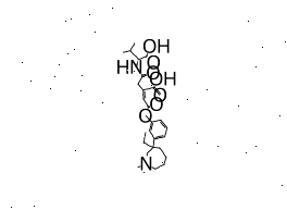 CCC1(c2cccc(OC(=O)/C=C(/CC(=O)N[C@H](C(=O)O)C(C)C)C(=O)O)c2)CCCCN(C)C1